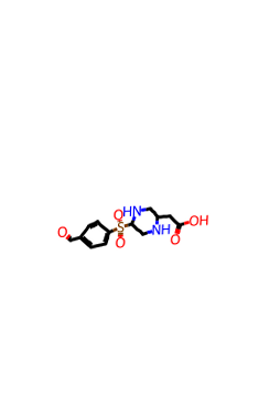 O=Cc1ccc(S(=O)(=O)C2CNC(CC(=O)O)CN2)cc1